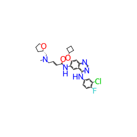 CN(C/C=C/C(=O)Nc1cc2c(Nc3ccc(F)c(Cl)c3)ncnc2cc1OC1CCC1)C[C@@H]1CCCO1